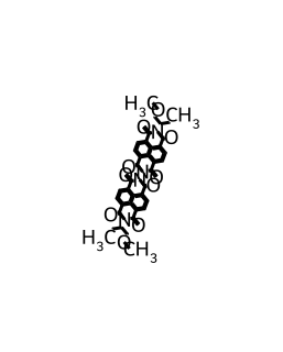 CCC(COC)N1C(=O)c2ccc3c4c(ccc(c24)C1=O)C(=O)N(N1C(=O)c2ccc4c5c(ccc(c25)C1=O)C(=O)N(C(CC)COC)C4=O)C3=O